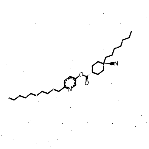 CCCCCCCCCCc1ccc(OC(=O)[C@H]2CC[C@@](C#N)(CCCCCCC)CC2)cn1